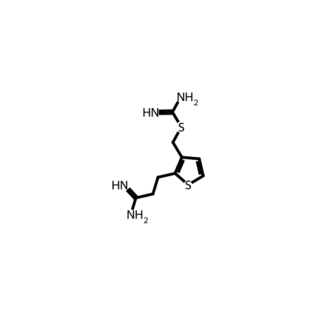 N=C(N)CCc1sccc1CSC(=N)N